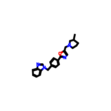 CC1CCCN(Cc2cnc(-c3ccc(Cn4cnc5ccccc54)cc3)o2)C1